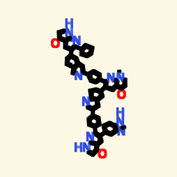 Cn1ccc(=O)c2cc(-c3ccc4ncc(-c5ccc(-c6nc7[nH]ccc(=O)c7cc6-c6ccc7[nH]cnc7c6)cc5)cc4c3)c(-c3ccc(-c4cc5cc(-c6cc7c(=O)cc[nH]c7nc6-c6ccccc6)ccc5cn4)cc3)nc21